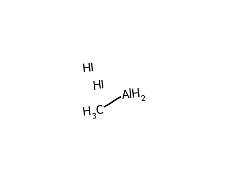 I.I.[CH3][AlH2]